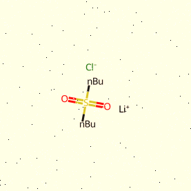 CCCCS(=O)(=O)CCCC.[Cl-].[Li+]